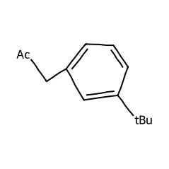 CC(=O)Cc1cccc(C(C)(C)C)c1